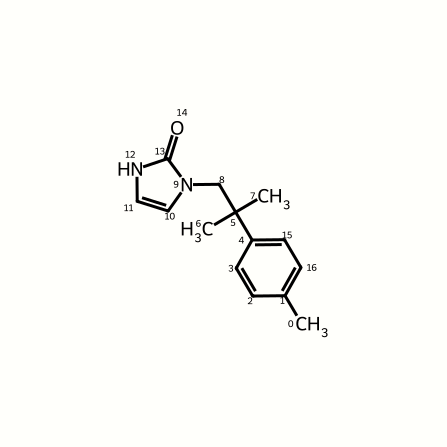 Cc1ccc(C(C)(C)Cn2cc[nH]c2=O)cc1